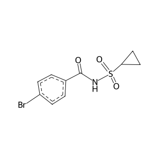 O=C(NS(=O)(=O)C1CC1)c1ccc(Br)cc1